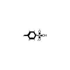 CC1=CC[C@@H](S(=O)(=O)O)C=C1